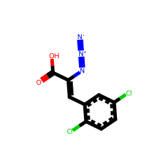 [N-]=[N+]=NC(=Cc1cc(Cl)ccc1Cl)C(=O)O